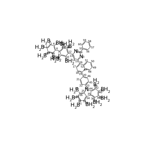 Bc1c(B)c(B)c(-c2c(B)c(B)c(-c3cc(-c4ccc(-c5ccc(-n6c7c(B)c(B)c(B)c(B)c7c7c(B)c(B)c(B)c(B)c76)cc5)c5ccccc45)nc(-c4ccccc4)n3)c(B)c2B)c(B)c1B